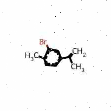 C=C(C)c1ccc(C)c(Br)c1